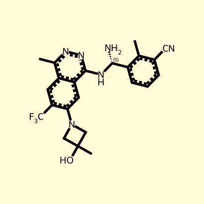 Cc1c(C#N)cccc1[C@@H](N)Nc1nnc(C)c2cc(C(F)(F)F)c(N3CC(C)(O)C3)cc12